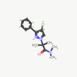 CN(C)C(=O)C(C)(C)n1cc(Cl)c(-c2ccccc2)n1